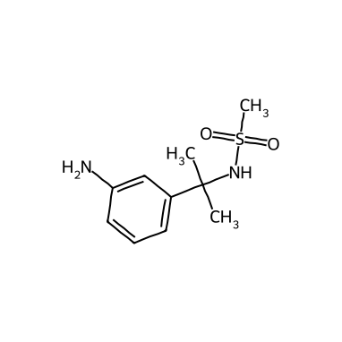 CC(C)(NS(C)(=O)=O)c1cccc(N)c1